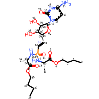 CCCCOC(=O)[C@H](C)NP(=O)(/C=C/[C@H]1O[C@@H](n2ccc(N)nc2=O)[C@H](O)[C@@H]1O)N[C@@H](C)C(=O)OCCCC